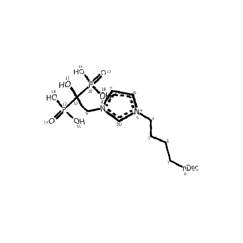 CCCCCCCCCCCCCC[n+]1ccn(CC(O)(P(=O)(O)O)P(=O)(O)O)c1